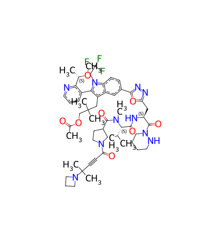 CO[C@@H](C)c1ncccc1-c1c(CC(C)(C)COC(C)=O)c2cc(-c3nnc(C[C@H](NC(=O)[C@H](C(C)C)N(C)C(=O)C4CCN(C(=O)C#CC(C)(C)N5CCC5)C4)C(=O)N4CCCCN4)o3)ccc2n1CC(F)(F)F